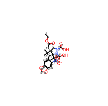 CCOC(=O)C[C@]1(C(C)(C)C)CN(C(=O)O)N(C(=O)O)[C@]1(Cc1cc2c(cc1[N+](=O)[O-])OCO2)C(C)(C)C